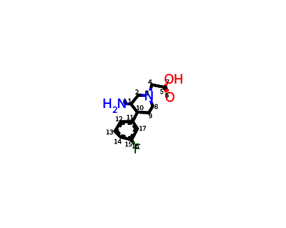 NC1CN(CC(=O)O)CCC1c1cccc(F)c1